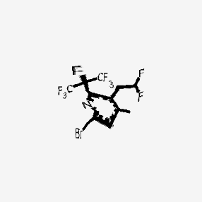 Cc1[c]c(Br)nc(C(F)(C(F)(F)F)C(F)(F)F)c1CC(F)F